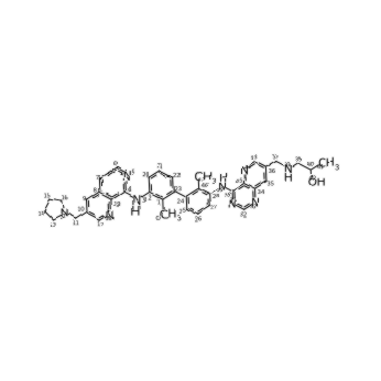 Cc1c(Nc2nccc3cc(CN4CCCC4)cnc23)cccc1-c1cccc(Nc2ncnc3cc(CNCC(C)O)cnc23)c1C